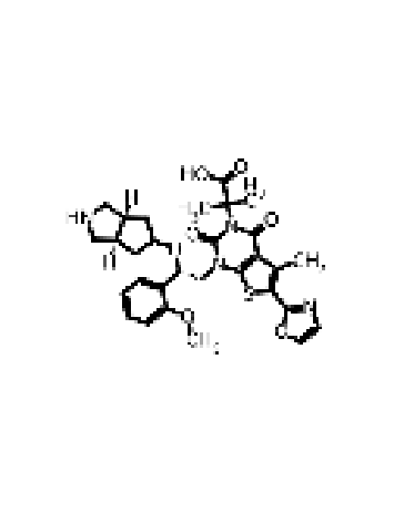 COc1ccccc1[C@@H](Cn1c(=O)n(C(C)(C)C(=O)O)c(=O)c2c(C)c(-c3ncco3)sc21)OC1C[C@H]2CNC[C@@H]2C1